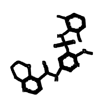 COc1ncc(NC(=O)c2ccnc3c2OCCC3)cc1S(=O)(=O)Nc1c(C)cccc1C